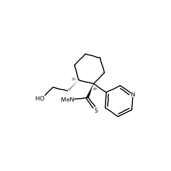 CNC(=S)[C@]1(c2cccnc2)CCCC[C@H]1CCO